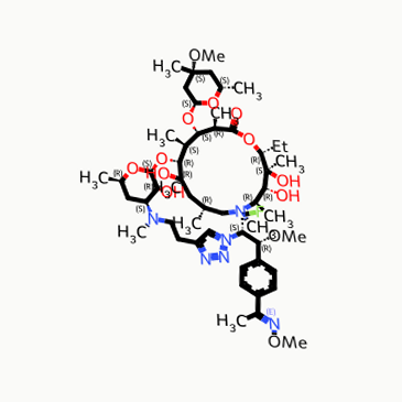 CC[C@H]1OC(=O)[C@H](C)[C@@H](O[C@H]2C[C@@](C)(OC)C[C@H](C)O2)[C@H](C)[C@@H](O[C@@H]2O[C@H](C)C[C@H](N(C)CCc3cn([C@H](CF)[C@H](OC)c4ccc(/C(C)=N/OC)cc4)nn3)[C@H]2O)[C@](C)(O)C[C@@H](C)CN(C)[C@H](C)[C@@H](O)[C@]1(C)O